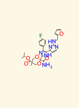 CC(C)OC(=O)C1(C)COC(C(N)=O)(c2nc(-c3ccc(F)cc3)c(-c3ccnc(NCc4ccco4)n3)[nH]2)OC1